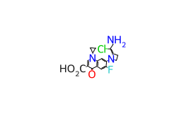 NCC(Cl)=C1CCN1c1cc2c(cc1F)c(=O)c(C(=O)O)cn2C1CC1